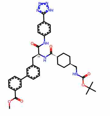 COC(=O)c1cccc(-c2cccc(C[C@H](NC(=O)[C@H]3CC[C@H](CNC(=O)OC(C)(C)C)CC3)C(=O)Nc3ccc(-c4nnn[nH]4)cc3)c2)c1